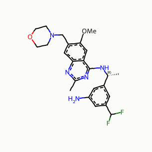 COc1cc2c(N[C@H](C)c3cc(N)cc(C(F)F)c3)nc(C)nc2cc1CN1CCOCC1